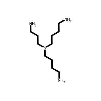 NCCCCN(CCCN)CCCCN